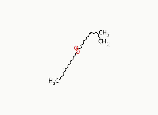 CCCCCCCCCCCCCCCOC(=O)CCCCCCC/C=C\CCC(C)CCC